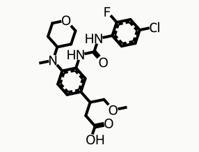 COCC(CC(=O)O)c1ccc(N(C)C2CCOCC2)c(NC(=O)Nc2ccc(Cl)cc2F)c1